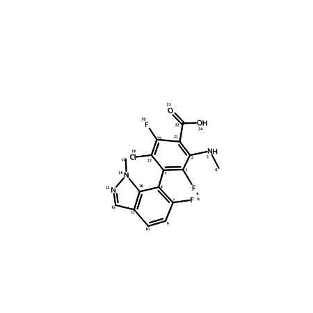 CNc1c(F)c(-c2c(F)ccc3cnn(C)c23)c(Cl)c(F)c1C(=O)O